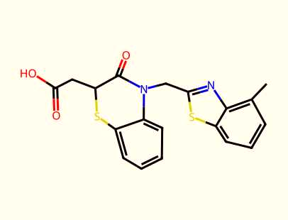 Cc1cccc2sc(CN3C(=O)C(CC(=O)O)Sc4ccccc43)nc12